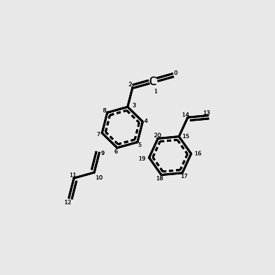 C=C=Cc1ccccc1.C=CC=C.C=Cc1ccccc1